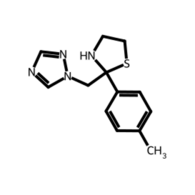 Cc1ccc(C2(Cn3cncn3)NCCS2)cc1